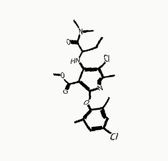 CCC(Nc1c(Cl)c(C)nc(Oc2c(C)cc(Cl)cc2C)c1C(=O)OC)C(=O)N(C)C